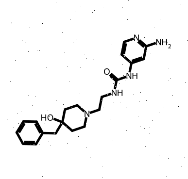 Nc1cc(NC(=O)NCCN2CCC(O)(Cc3ccccc3)CC2)ccn1